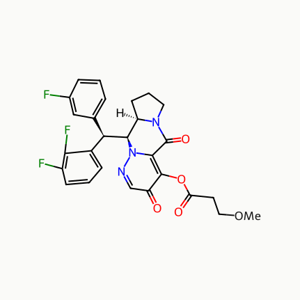 COCCC(=O)Oc1c2n(ncc1=O)[C@@H]([C@H](c1cccc(F)c1)c1cccc(F)c1F)[C@H]1CCCN1C2=O